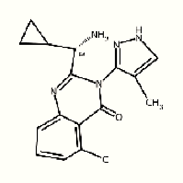 Cc1c[nH]nc1-n1c([C@@H](N)C2CC2)nc2cccc(Cl)c2c1=O